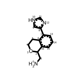 NCC1OCCc2c(-c3c[nH]cn3)cccc21